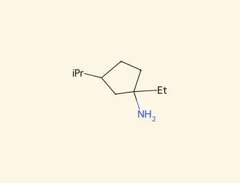 CCC1(N)CCC(C(C)C)C1